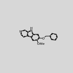 COc1cc2c(cc1OCc1ccccc1)[nH]c1cnccc12